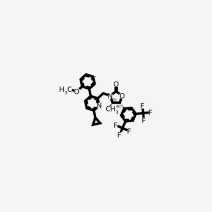 COc1cc[c]cc1-c1ccc(C2CC2)nc1CN1C(=O)O[C@H](c2cc(C(F)(F)F)cc(C(F)(F)F)c2)[C@@H]1C